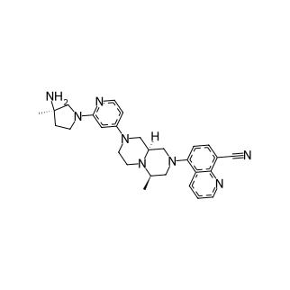 C[C@@H]1CN(c2ccc(C#N)c3ncccc23)C[C@@H]2CN(c3ccnc(N4CC[C@@](C)(N)C4)c3)CCN21